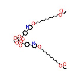 C=CC(=O)OCCCCCCCCCCCCOc1ccc(-c2ccc(C(=O)O[C@H]3OCCO[C@@H]3OC(=O)c3ccc(-c4ccc(OCCCCCCCCCCCCOC(=O)C=C)cn4)cc3)cc2)nc1